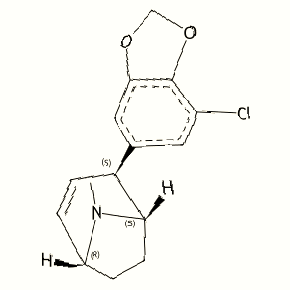 CN1[C@H]2C=C[C@@H](c3cc(Cl)c4c(c3)OCO4)[C@@H]1CC2